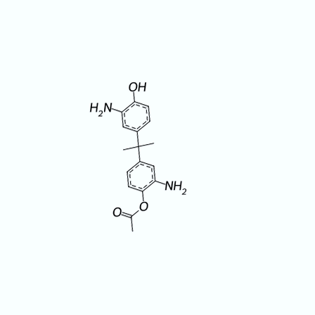 CC(=O)Oc1ccc(C(C)(C)c2ccc(O)c(N)c2)cc1N